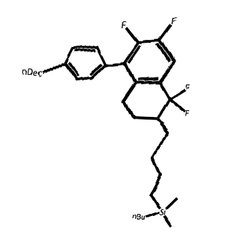 CCCCCCCCCCc1ccc(-c2c(F)c(F)cc3c2CCC(CCCC[Si](C)(C)CCCC)C3(F)F)cc1